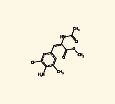 COC(=O)/C(=C\c1cc(C)c(N)c(Cl)c1)NC(C)=O